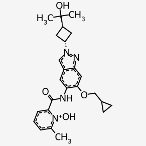 Cc1cccc(C(=O)Nc2cc3cn([C@H]4C[C@H](C(C)(C)O)C4)nc3cc2OCC2CC2)[n+]1O